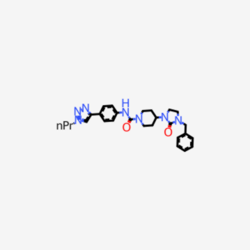 CCCn1cc(-c2ccc(NC(=O)N3CCC(N4CCN(Cc5ccccc5)C4=O)CC3)cc2)nn1